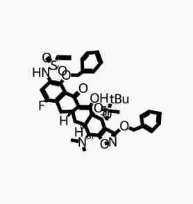 C=CS(=O)(=O)Nc1cc(F)c2c(c1OCc1ccccc1)C(=O)C1=C(O)C3(O[Si](C)(C)C(C)(C)C)C(=O)c4c(OCc5ccccc5)noc4[C@@H](N(C)C)[C@@H]3C[C@@H]1C2